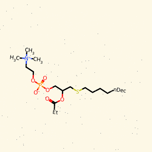 CCCCCCCCCCCCCCSCC(COP(=O)([O-])OCC[N+](C)(C)C)OC(=O)CC